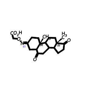 C[C@]12CC/C(=N\OCC(=O)O)CC1C(=O)CC1C2CC[C@]2(C)C(=O)CCC12